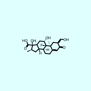 C[C@@H]1C[C@H]2[C@@H]3CCC4=CC(=O)C(=CO)C[C@]4(C)[C@@]3(F)[C@@H](O)C[C@]2(C)[C@@]1(O)C(=O)O